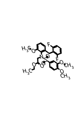 CCOC(=O)CN(c1c(Cc2c(F)cccc2F)cccc1OC)S(=O)(=O)c1ccc(OC)c(OC)c1